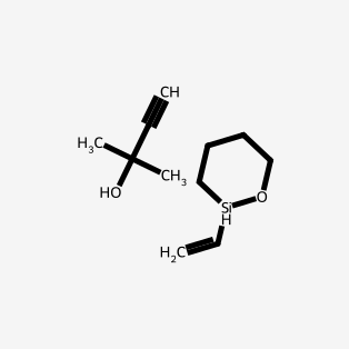 C#CC(C)(C)O.C=C[SiH]1CCCCO1